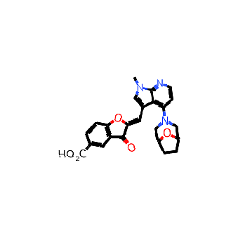 Cn1cc(C=C2Oc3ccc(C(=O)O)cc3C2=O)c2c(N3CC4CCC(C3)O4)ccnc21